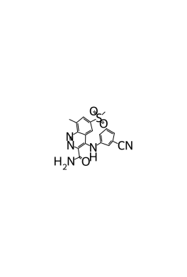 Cc1cc(S(C)(=O)=O)cc2c(Nc3cccc(C#N)c3)c(C(N)=O)nnc12